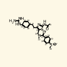 CC(=O)Nc1nc(CCc2ccc(NC(=N)N)cc2)c(CN(C)C(=O)c2ccc([S+](C)[O-])cc2)s1